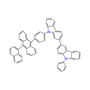 c1ccc(-n2c3ccccc3c3cc(-c4ccc5c6ccccc6n(-c6ccc(-c7c8ccccc8c(-c8cccc9ccccc89)c8ccccc78)cc6)c5c4)ccc32)cc1